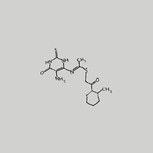 C/C(=N\c1[nH]c(=S)[nH]c(=O)c1N)SCC(=O)C1CCCCC1C